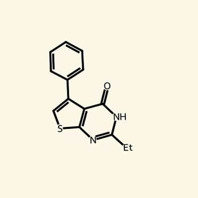 CCc1nc2scc(-c3ccccc3)c2c(=O)[nH]1